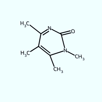 Cc1nc(=O)n(C)c(C)c1C